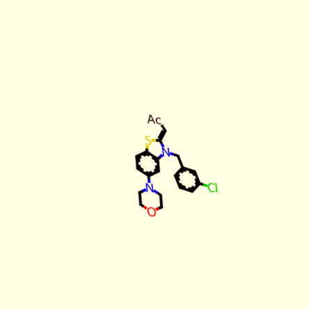 CC(=O)/C=C1\Sc2ccc(N3CCOCC3)cc2N1Cc1cccc(Cl)c1